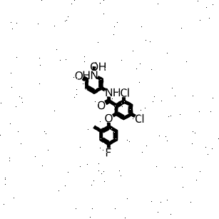 Cc1cc(F)ccc1Oc1cc(Cl)cc(Cl)c1C(=O)NC(/C=C\C=O)=C/NO